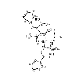 CC(C)C[C@H](NC(CCc1ccccc1)P(=O)(O)O)C(=O)N(C(N)=O)[C@@H](Cc1ccccc1)C(=O)O